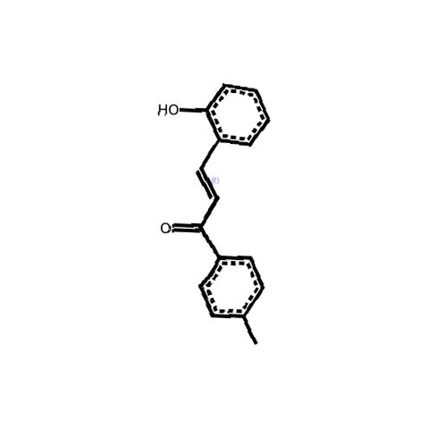 Cc1ccc(C(=O)/C=C/c2ccccc2O)cc1